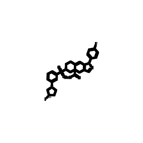 COC(=O)C12Cc3cnn(-c4ccc(F)cc4)c3C=C1CCN(S(=O)(=O)c1cccc(N3CC[C@@H](F)C3)c1)C2